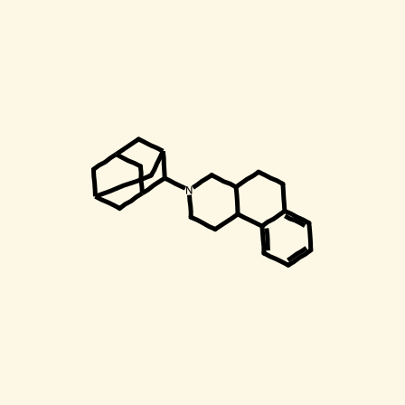 c1ccc2c(c1)CCC1CN(C3C4CC5CC(C4)CC3C5)CCC21